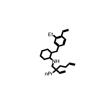 C=CCCC(C=C)(CCC)CNC1CCCCC1Cc1ccc(C=C)c(CC)c1